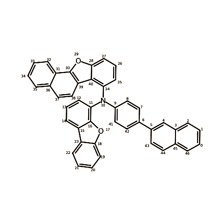 c1ccc2cc(-c3ccc(N(c4cccc5c4oc4ccccc45)c4cccc5oc6c7ccccc7ccc6c45)cc3)ccc2c1